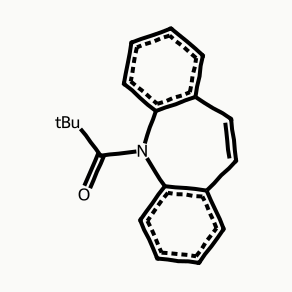 CC(C)(C)C(=O)N1c2ccccc2C=Cc2ccccc21